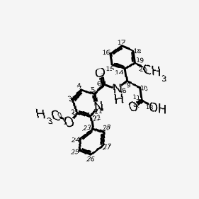 COc1ccc(C(=O)NC(CC(=O)O)c2ccccc2C)nc1-c1ccccc1